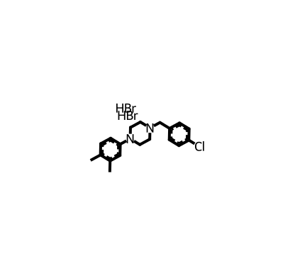 Br.Br.Cc1ccc(N2CCN(Cc3ccc(Cl)cc3)CC2)cc1C